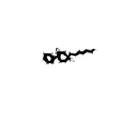 CCCCCCCC1(F)C=CC(c2ccccc2)=C(F)C1